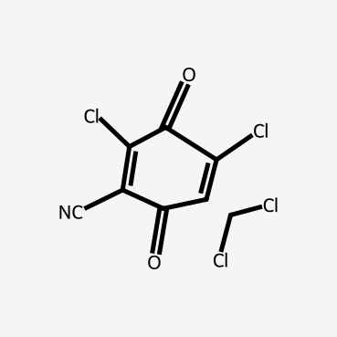 ClCCl.N#CC1=C(Cl)C(=O)C(Cl)=CC1=O